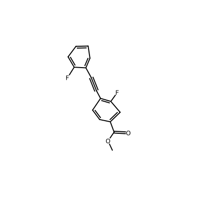 COC(=O)c1ccc(C#Cc2ccccc2F)c(F)c1